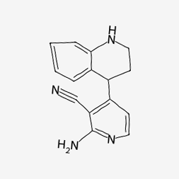 N#Cc1c(C2CCNc3ccccc32)ccnc1N